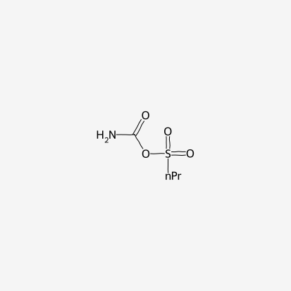 CCCS(=O)(=O)OC(N)=O